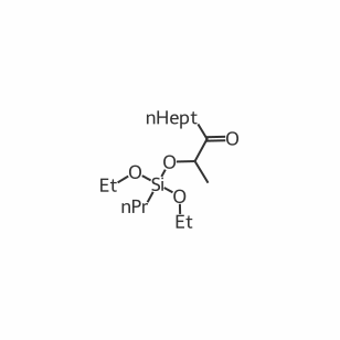 CCCCCCCC(=O)C(C)O[Si](CCC)(OCC)OCC